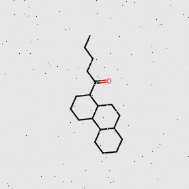 CCCCC(=O)C1CCCC2C3CCCCC3CCC12